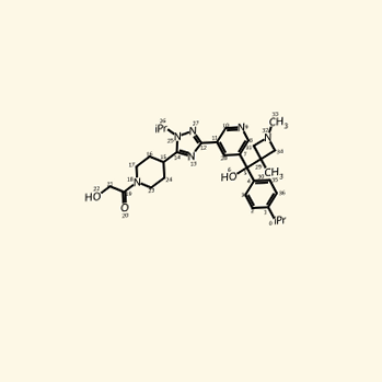 CC(C)c1ccc(C(O)(c2cncc(-c3nc(C4CCN(C(=O)CO)CC4)n(C(C)C)n3)c2)C2(C)CN(C)C2)cc1